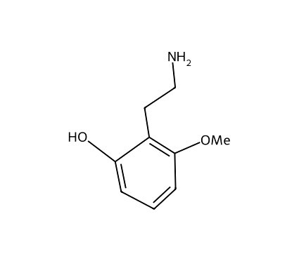 COc1cccc(O)c1CCN